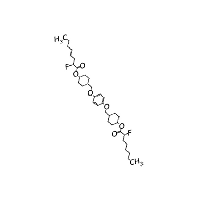 CCCCCC[C@H](F)C(=O)OC1CCC(COc2ccc(OCC3CCC(OC(=O)[C@@H](F)CCCCCC)CC3)cc2)CC1